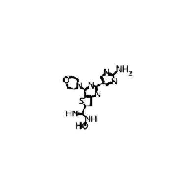 N=C(NO)C1Cc2nc(-c3cnc(N)nc3)nc(N3CCOCC3)c2S1